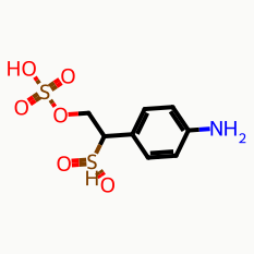 Nc1ccc(C(COS(=O)(=O)O)[SH](=O)=O)cc1